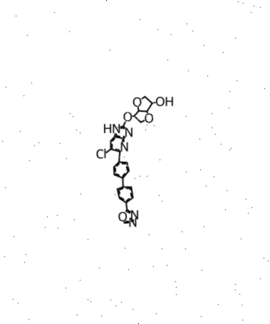 O[C@@H]1COC2C1OC[C@H]2Oc1nc2nc(-c3ccc(-c4ccc(-c5nnco5)cc4)cc3)c(Cl)cc2[nH]1